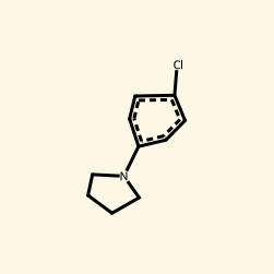 Clc1ccc(N2CCCC2)cc1